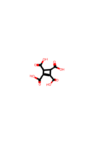 O=C(O)C1=C(C(=O)O)C(C(=O)O)C1C(=O)O